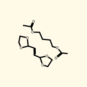 C(=CC1OCCO1)C1OCCO1.CC(=O)OCCCCOC(C)=O